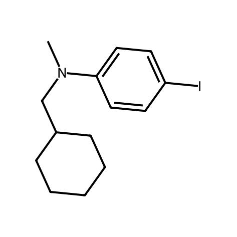 CN(CC1CCCCC1)c1ccc(I)cc1